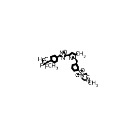 Cc1cc(-c2nc(-c3ccc(C(C)(C)C(F)(F)F)cc3)no2)nn1Cc1cccc(S(=O)(=O)N2CCN(C)CC2)c1